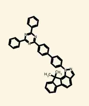 CC1(C)c2ccccc2-c2ccc3cnn(-c4ccc(-c5ccc(-c6nc(-c7ccccc7)nc(-c7ccccc7)n6)cc5)cc4)c3c21